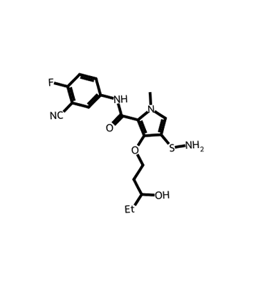 CCC(O)CCOc1c(SN)cn(C)c1C(=O)Nc1ccc(F)c(C#N)c1